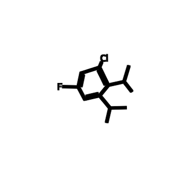 CC(C)c1cc(F)cc(Cl)c1C(C)C